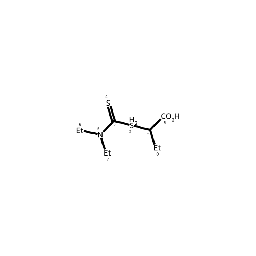 CCC([SH2]C(=S)N(CC)CC)C(=O)O